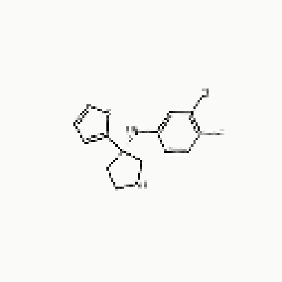 Fc1ccc(N[C@@]2(c3cccs3)CCNC2)cc1Cl